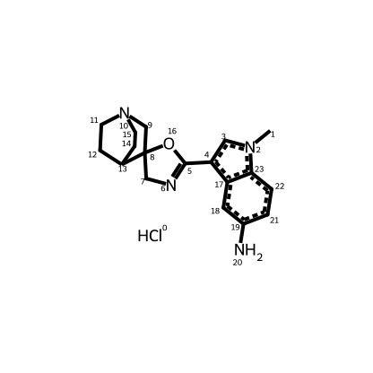 Cl.Cn1cc(C2=NCC3(CN4CCC3CC4)O2)c2cc(N)ccc21